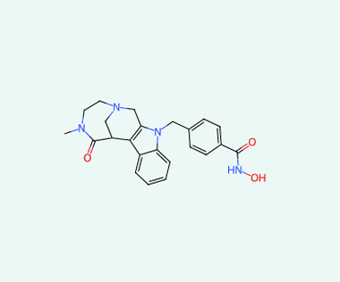 CN1CCN2Cc3c(c4ccccc4n3Cc3ccc(C(=O)NO)cc3)C(C2)C1=O